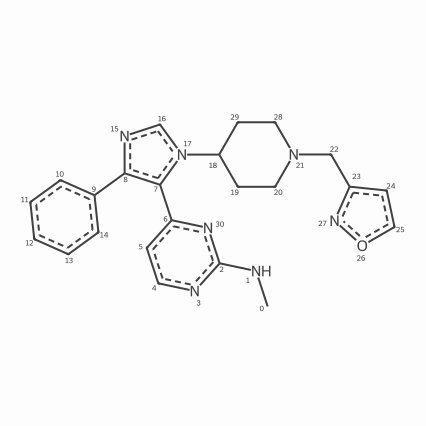 CNc1nccc(-c2c(-c3ccccc3)ncn2C2CCN(Cc3ccon3)CC2)n1